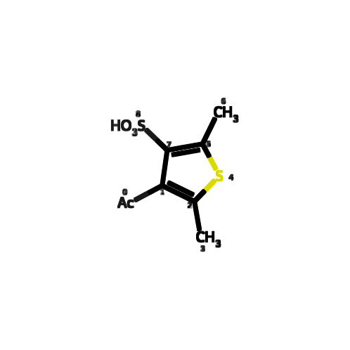 CC(=O)c1c(C)sc(C)c1S(=O)(=O)O